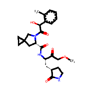 O=C1NCC[C@H]1C[C@H](NC(=O)[C@@H]1CC2(CC2)CN1C(=O)C(O)c1ccccc1C(F)(F)F)C(=O)COC(F)(F)F